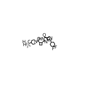 CC1(C)CCN(C(=O)C2CCC2c2nc3c(cnn3C3CCC(F)(F)CC3)c(=O)[nH]2)CC1